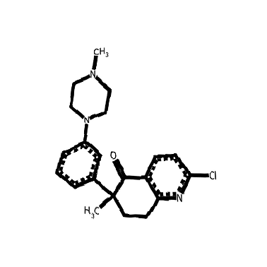 CN1CCN(c2cccc(C3(C)CCc4nc(Cl)ccc4C3=O)c2)CC1